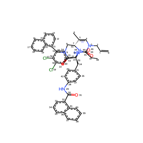 C=CCN(/C=C(/C)[C@H]1CN(Cc2cccc3ccccc23)C(=O)[C@H](Cc2ccc(NC(=O)c3cccc4ccccc34)cc2)N1C(=O)CC)C(=O)NCc1ccc(Cl)c(Cl)c1